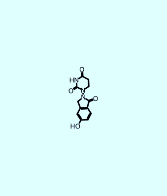 O=C1CCN(N2Cc3cc(O)ccc3C2=O)C(=O)N1